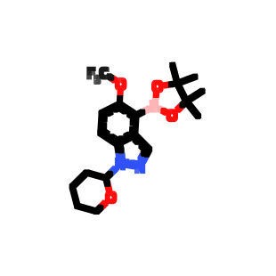 CC1(C)OB(c2c(OC(F)(F)F)ccc3c2cnn3C2CCCCO2)OC1(C)C